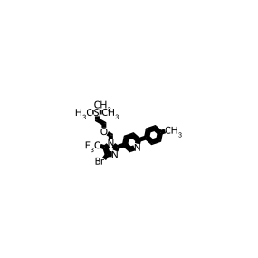 Cc1ccc(-c2ccc(-c3nc(Br)c(C(F)(F)F)n3COCC[Si](C)(C)C)cn2)cc1